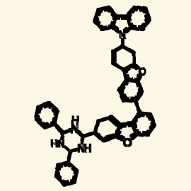 C1=CC(n2c3ccccc3c3ccccc32)Cc2oc3cc(-c4cccc5oc6c(c45)=CCC(C4NC(c5ccccc5)NC(c5ccccc5)N4)C=6)ccc3c21